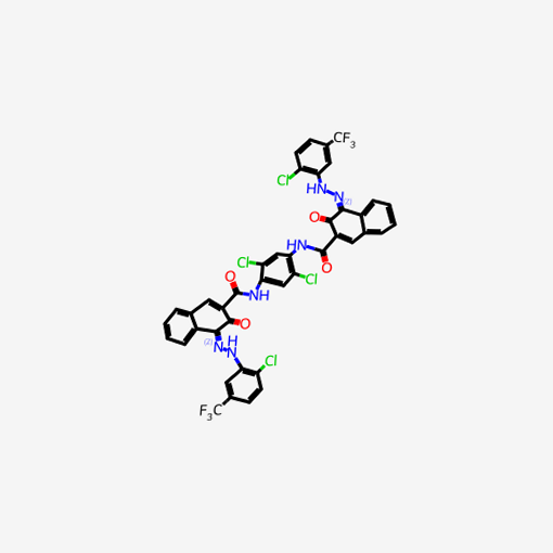 O=C(Nc1cc(Cl)c(NC(=O)C2=Cc3ccccc3/C(=N/Nc3cc(C(F)(F)F)ccc3Cl)C2=O)cc1Cl)C1=Cc2ccccc2/C(=N/Nc2cc(C(F)(F)F)ccc2Cl)C1=O